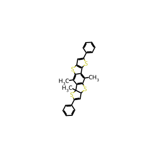 Cc1c2c(c(C)c3c1sc1cc(-c4ccccc4)sc13)SC1C=C(c3ccccc3)SC21C